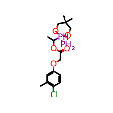 Cc1cc(OCC(=O)OC(C)[PH]2(P)OCC(C)(C)CO2)ccc1Cl